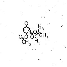 CC(=O)OC1C=CC(=O)CN1C(=O)OC(C)(C)C